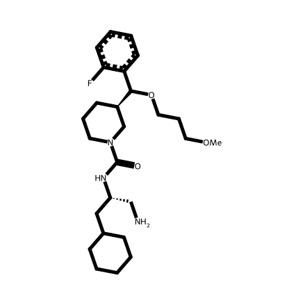 COCCCOC(c1ccccc1F)[C@@H]1CCCN(C(=O)N[C@H](CN)CC2CCCCC2)C1